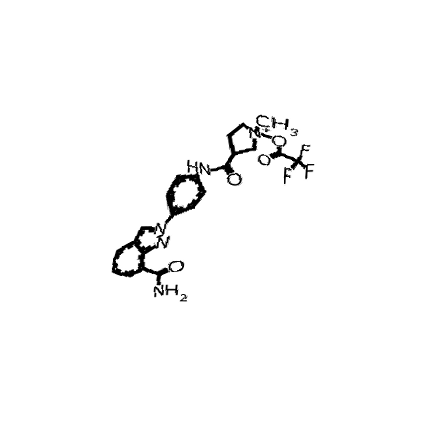 C[N+]1(OC(=O)C(F)(F)F)CCC(C(=O)Nc2ccc(-n3cc4cccc(C(N)=O)c4n3)cc2)C1